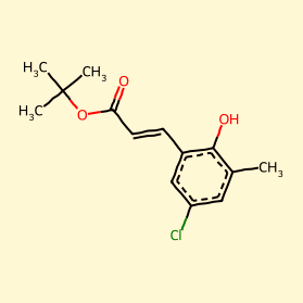 Cc1cc(Cl)cc(/C=C/C(=O)OC(C)(C)C)c1O